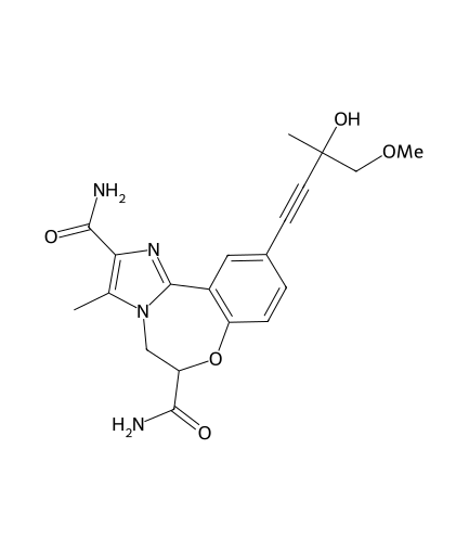 COCC(C)(O)C#Cc1ccc2c(c1)-c1nc(C(N)=O)c(C)n1CC(C(N)=O)O2